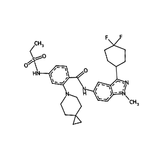 CCS(=O)(=O)Nc1ccc(C(=O)Nc2ccc3c(c2)c(C2CCC(F)(F)CC2)nn3C)c(N2CCC3(CC2)CC3)c1